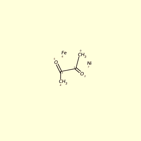 CC(=O)C(C)=O.[Fe].[Ni]